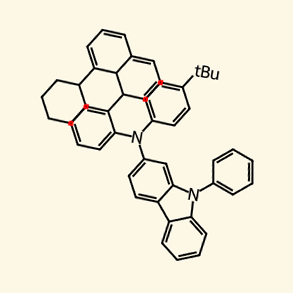 CC(C)(C)c1ccc(N(c2ccc3c4ccccc4n(-c4ccccc4)c3c2)c2ccccc2C2C=CC=C3C=CC=C(C4CCCCC4)C32)cc1